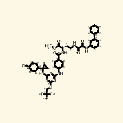 COC(=O)[C@H](CCNC(=O)C(=O)Nc1cccc(-c2ccccc2)c1)NC(=O)c1ccc(Nc2nc(NC3(c4ccc(Cl)cc4)CC3)nc(OCC(F)(F)F)n2)cc1